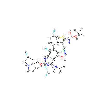 C[C@@H]1CCOc2c(Cl)c(-c3ccc(F)c4sc(NC(=O)OC(C)(C)C)c(C#N)c34)c(F)c3nc(OC[C@@]45CCCN4C[C@H](F)C5)nc(c23)N1CC(F)F